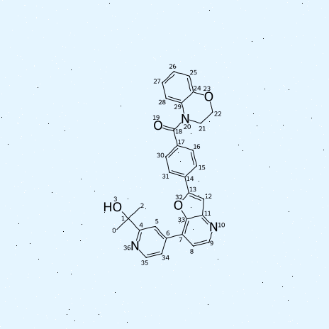 CC(C)(O)c1cc(-c2ccnc3cc(-c4ccc(C(=O)N5CCOc6ccccc65)cc4)oc23)ccn1